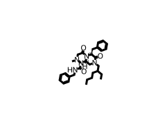 CCCCC(CC)CN1C[C@H]2N(C(=O)CN(C)N2C(=O)NCc2ccccc2)[C@@H](Cc2ccccc2)C1=O